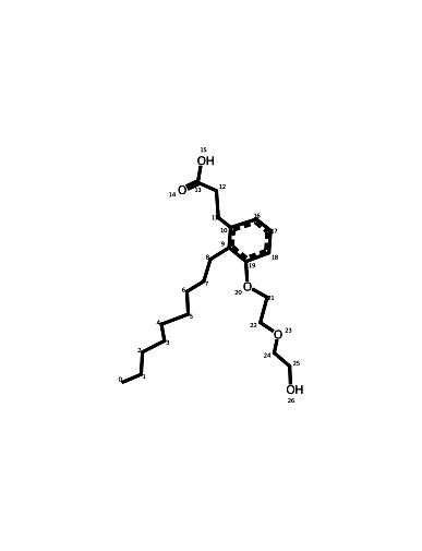 CCCCCCCCCc1c(CCC(=O)O)cccc1OCCOCCO